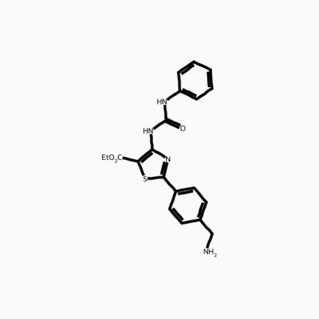 CCOC(=O)c1sc(-c2ccc(CN)cc2)nc1NC(=O)Nc1ccccc1